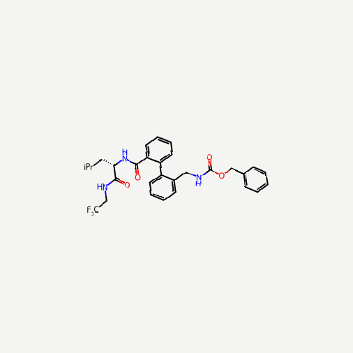 CC(C)C[C@H](NC(=O)c1ccccc1-c1ccccc1CNC(=O)OCc1ccccc1)C(=O)NCC(F)(F)F